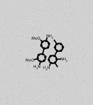 COc1cc(-c2ccc(N)c(OC)c2)ccc1N.Cc1cccc(-c2ccc(N)c(C)c2N)c1